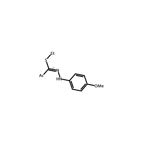 CCS/C(=N/Nc1ccc(OC)cc1)C(C)=O